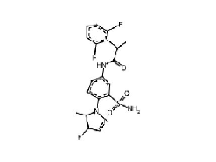 CC(C(=O)Nc1ccc(N2N=CC(F)C2C)c(S(N)(=O)=O)c1)c1c(F)cccc1F